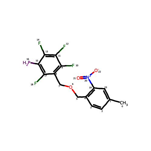 Cc1ccc(COCc2c(F)c(F)c(F)c(P)c2F)c([N+](=O)[O-])c1